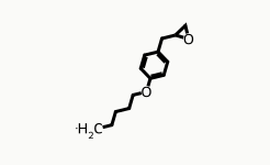 [CH2]CCCCOc1ccc(CC2CO2)cc1